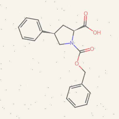 O=C(O)[C@@H]1C[C@H](c2ccccc2)CN1C(=O)OCc1ccccc1